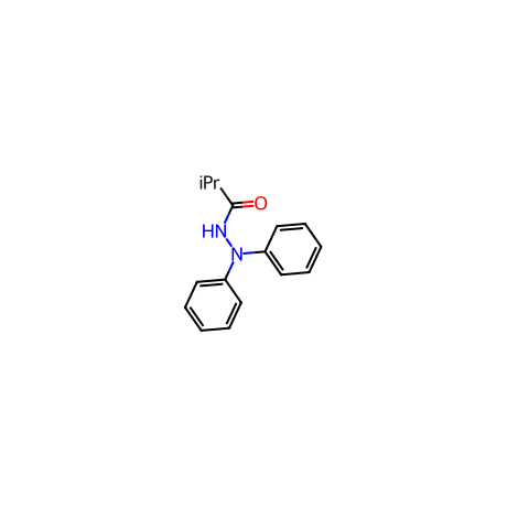 CC(C)C(=O)NN(c1ccccc1)c1ccccc1